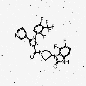 O=C(c1cc(-c2cccnc2)n(-c2ccc(F)c(C(F)(F)F)c2F)n1)N1CCC(n2c(=O)[nH]c3ccc(F)c(F)c32)CC1